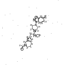 CC(=O)N1CCCc2cc(CCN3CCC(c4noc5cc(F)ccc45)CC3)sc2C1.Cl